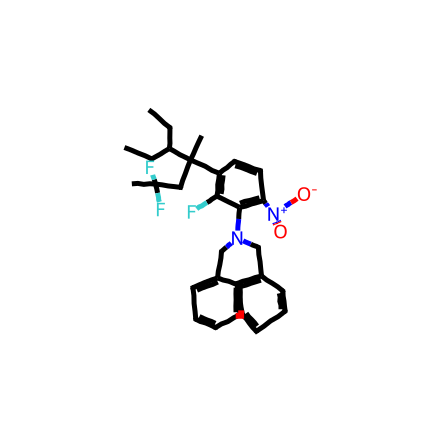 CCC(CC)C(C)(CC(C)(F)F)c1ccc([N+](=O)[O-])c(N(Cc2ccccc2)Cc2ccccc2)c1F